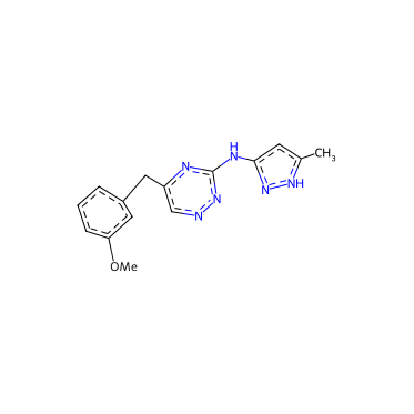 COc1cccc(Cc2cnnc(Nc3cc(C)[nH]n3)n2)c1